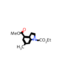 CCOC(=O)Cn1ccc2c(C(=O)OC)cc(C)cc21